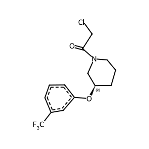 O=C(CCl)N1CCC[C@@H](Oc2cccc(C(F)(F)F)c2)C1